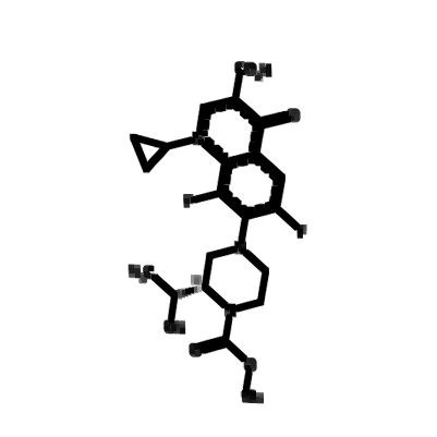 CC(O)[C@@H]1CN(c2c(F)cc3c(=O)c(C(=O)O)cn(C4CC4)c3c2F)CCN1C(=O)OC(C)(C)C